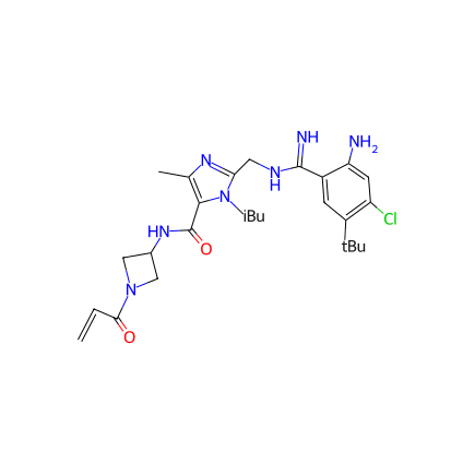 C=CC(=O)N1CC(NC(=O)c2c(C)nc(CNC(=N)c3cc(C(C)(C)C)c(Cl)cc3N)n2C(C)CC)C1